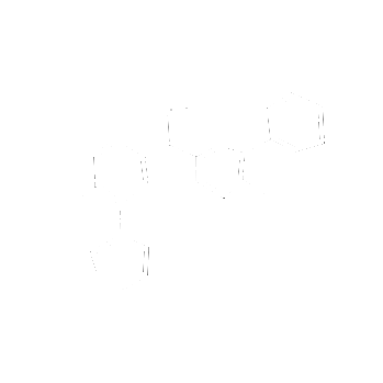 CCCCCC(c1ccc(O)c(-c2ccccc2)c1)c1ccc(O)c(-c2ccccc2)c1